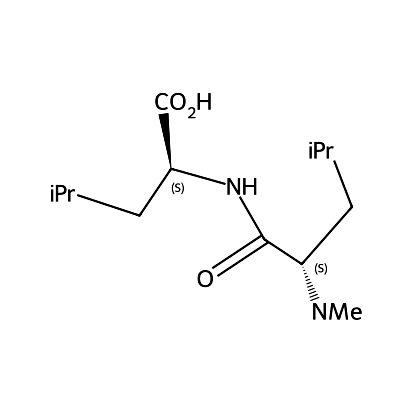 CN[C@@H](CC(C)C)C(=O)N[C@@H](CC(C)C)C(=O)O